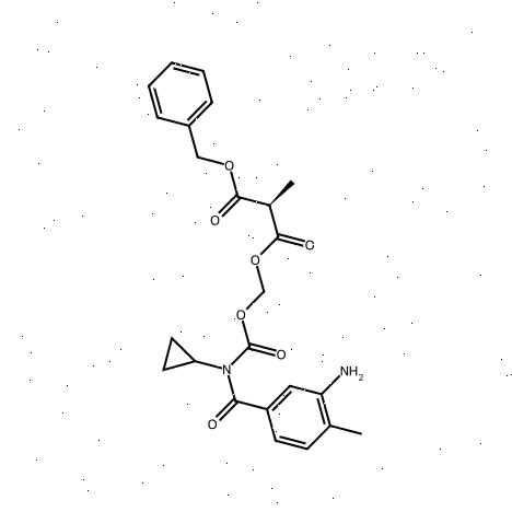 Cc1ccc(C(=O)N(C(=O)OCOC(=O)[C@H](C)C(=O)OCc2ccccc2)C2CC2)cc1N